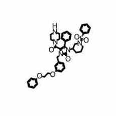 O=C(c1c(-c2ccccc2)n(C2CCCN(S(=O)(=O)c3ccccc3)C2)c(=O)n1Cc1cccc(OCCOc2ccccc2)c1)N1CCNCC1